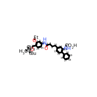 CCOc1cc(NC(=O)CCCc2ccc(-c3ccccc3)c(NC(=O)O)c2)ccc1CO[Si](C)(C)C(C)(C)C